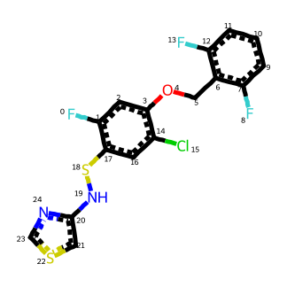 Fc1cc(OCc2c(F)cccc2F)c(Cl)cc1SNc1cscn1